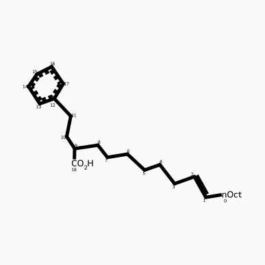 CCCCCCCC/C=C/CCCCCCC(CCc1ccccc1)C(=O)O